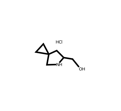 Cl.OCC1CC2(CC2)CN1